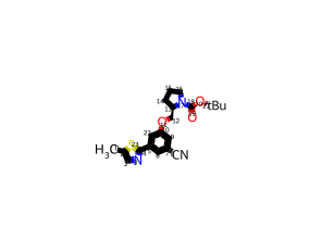 Cc1cnc(-c2cc(C#N)cc(OC[C@H]3CCCN3C(=O)OC(C)(C)C)c2)s1